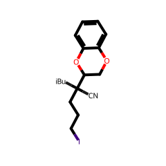 CCC(C)C(C#N)(CCCI)C1COc2ccccc2O1